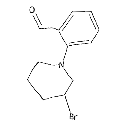 O=Cc1ccccc1N1CCCC(Br)C1